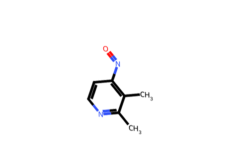 Cc1nccc(N=O)c1C